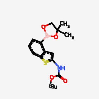 CC(C)(C)OC(=O)Nc1cc2c(B3OCC(C)(C)O3)cccc2s1